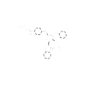 CCOC(=O)Nc1ccc(/N=C2\S/C(=C3\Sc4ccccc4N3C)C(=O)N2Cc2ccccc2)cc1